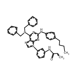 C=CC(=O)Nc1cccc(-n2cnc3c(N(Cc4ccccc4)Cc4ccccc4)nc(Nc4ccc(CCCC)cc4)nc32)c1